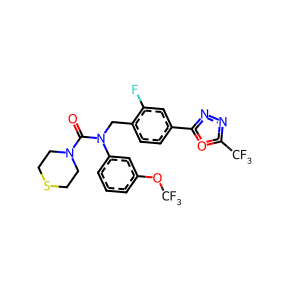 O=C(N1CCSCC1)N(Cc1ccc(-c2nnc(C(F)(F)F)o2)cc1F)c1cccc(OC(F)(F)F)c1